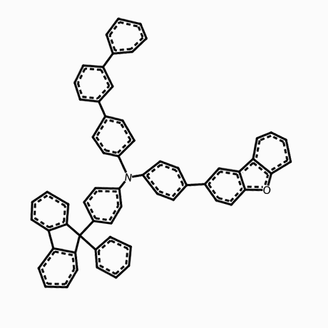 c1ccc(-c2cccc(-c3ccc(N(c4ccc(-c5ccc6oc7ccccc7c6c5)cc4)c4ccc(C5(c6ccccc6)c6ccccc6-c6ccccc65)cc4)cc3)c2)cc1